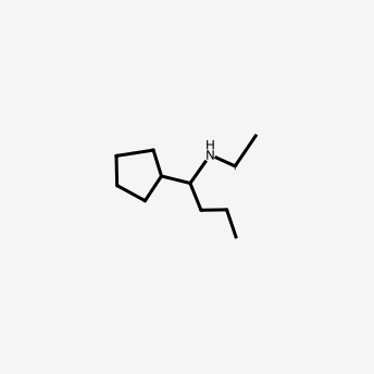 C[CH]NC(CCC)C1CCCC1